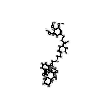 COc1cc(CCN(C)C2CCN(CCCCOc3ccccc3[N+]3(C(C)C)C(=O)C(C)c4ccccc4S3(=O)=O)CC2)cc(OC)c1OC